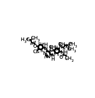 C=CC(=O)Nc1cc(Nc2cc(Nc3ccc(OCCC(C)C)c(Cl)c3)ncn2)c(OC)cc1N(C)CCN(C)C